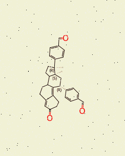 C[C@@]1(c2ccc(C=O)cc2)CCC2C3CCC4=CC(=O)CCC4=C3[C@@H](c3ccc(C=O)cc3)C[C@@]21C